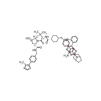 Cc1ncsc1-c1ccc(CNC(=O)[C@@H]2C[C@@H](O)CN2C(=O)[C@@H](NC(=O)[C@H]2CC[C@H](Cc3ccc(-c4cnc(N5C6CCC5CN(c5cc(-c7ccccc7O)nnc5N)C6)nc4)cc3)CC2)C(C)(C)C)cc1